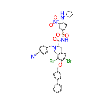 N#Cc1ccc(CN2Cc3c(cc(Br)c(OCc4ccc(-c5ccccc5)cc4)c3Br)C[C@H]2C(=O)NS(=O)(=O)c2ccc(NC3CCCC3)c([N+](=O)[O-])c2)cc1